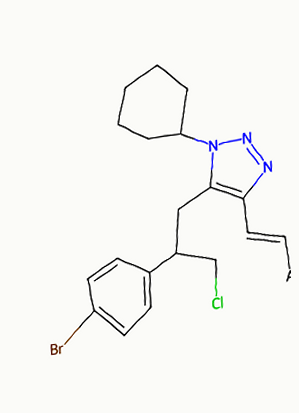 CC(=O)/C=C/c1nnn(C2CCCCC2)c1CC(CCl)c1ccc(Br)cc1